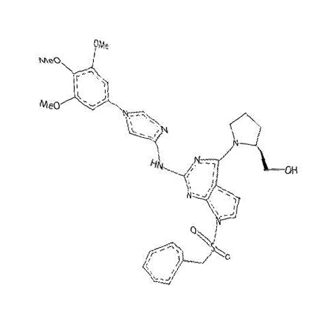 COc1cc(-n2cnc(Nc3nc(N4CCC[C@H]4CO)c4ccn(S(=O)(=O)Cc5ccccc5)c4n3)c2)cc(OC)c1OC